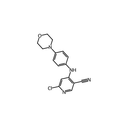 N#Cc1cnc(Cl)cc1Nc1ccc(N2CCOCC2)cc1